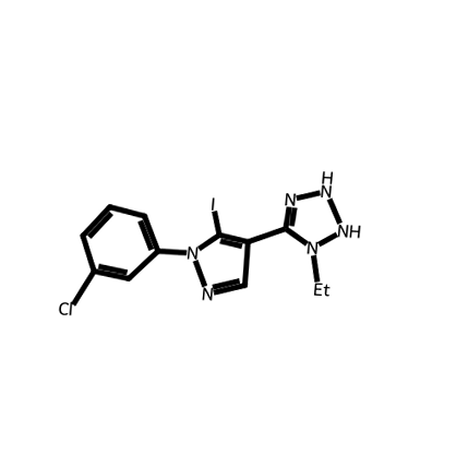 CCN1NNN=C1c1cnn(-c2cccc(Cl)c2)c1I